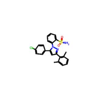 Cc1cccc(C)c1-c1cc(-c2ccc(Cl)cc2)n(-c2ccccc2S(N)(=O)=O)n1